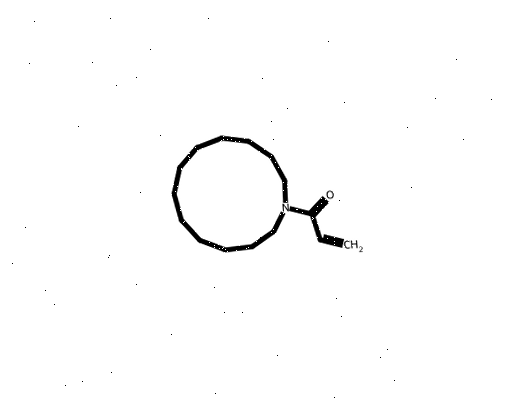 C=CC(=O)N1CCCCCCCCCCCC1